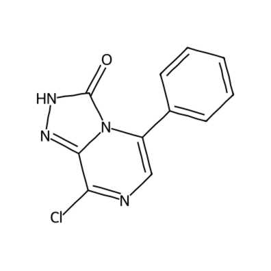 O=c1[nH]nc2c(Cl)ncc(-c3ccccc3)n12